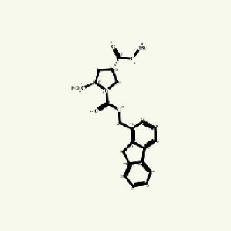 CC(C)(C)OC(=O)[C@H]1C[C@H](C(=O)O)N(C(=O)OCc2cccc3c2Cc2ccccc2-3)C1